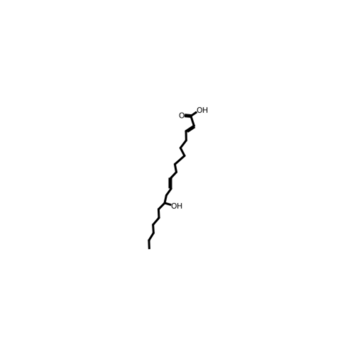 CCCCCCC(O)CC=CCCCCCC=CC(=O)O